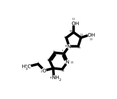 CCOC1(N)C=CC(N2CC(O)C(O)C2)=NC1